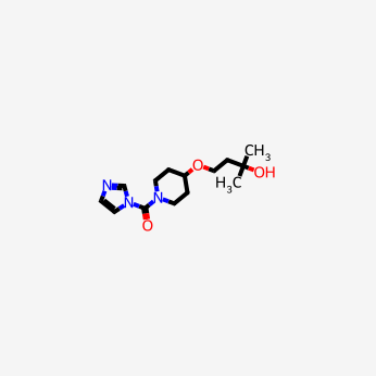 CC(C)(O)CCOC1CCN(C(=O)n2ccnc2)CC1